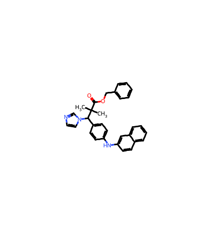 CC(C)(C(=O)OCc1ccccc1)C(c1ccc(Nc2ccc3ccccc3c2)cc1)n1ccnc1